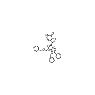 C[C@@]1(OCc2ccccc2)[C@H](OCc2ccccc2)[C@@H](COCc2ccccc2)O[C@H]1c1coc2c(=O)[nH]cnc12